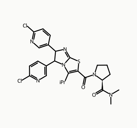 CC(C)C1=C(C(=O)N2CCC[C@H]2C(=O)N(C)C)SC2=NC(c3ccc(Cl)nc3)C(c3ccc(Cl)nc3)N21